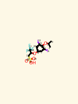 CC(C)Oc1c(I)cc(OC(CS(=O)(=O)O)C(F)(F)F)cc1I